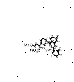 COCCC(NC(=O)O)[C@H]1CCCN(c2nc(-c3c(O)cccc3F)nc3cc(C)ccc23)C1